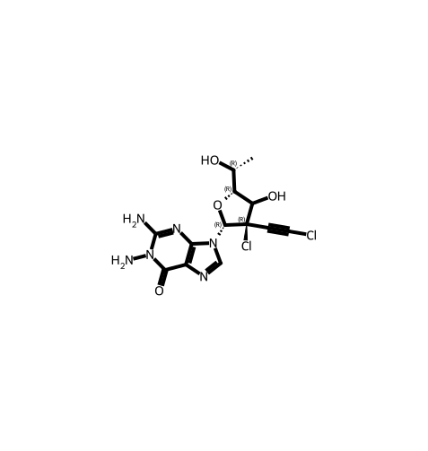 C[C@@H](O)[C@H]1O[C@@H](n2cnc3c(=O)n(N)c(N)nc32)[C@@](Cl)(C#CCl)C1O